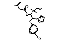 C=C(C)CC(=O)OC(C(Oc1ccc(Cl)cc1)n1cncn1)C(C)(C)CBr